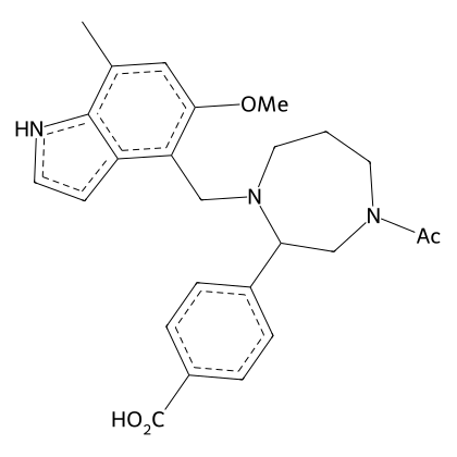 COc1cc(C)c2[nH]ccc2c1CN1CCCN(C(C)=O)CC1c1ccc(C(=O)O)cc1